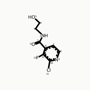 O=C(NCCO)c1ccnc(Cl)c1F